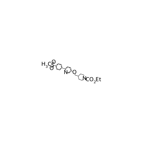 CCOC(=O)N1CCC(COc2ccc(-c3ccc(S(C)(=O)=O)cc3)nc2)CC1